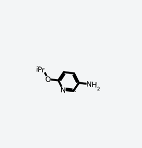 CC(C)Oc1ccc(N)[c]n1